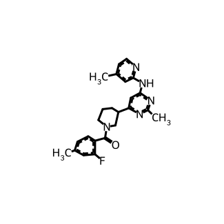 Cc1ccnc(Nc2cc(C3CCCN(C(=O)c4ccc(C)cc4F)C3)nc(C)n2)c1